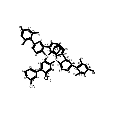 Cc1cc(C)c(-c2ccc3c(c2)c2ccccc2n3-c2cc(-c3cccc(C#N)c3)c(C(F)(F)F)cc2-n2c3ccccc3c3cc(-c4c(C)cc(C)cc4C)ccc32)c(C)c1